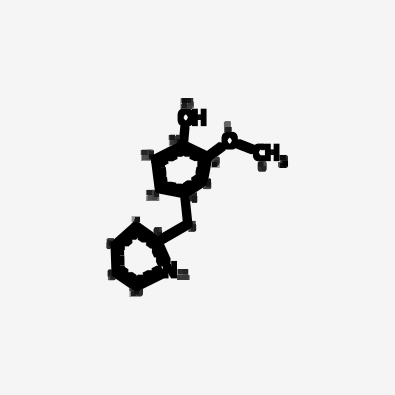 COc1cc(Cc2ccccn2)ccc1O